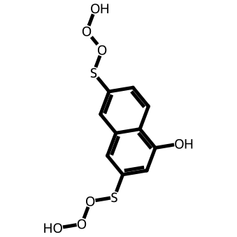 OOOSc1ccc2c(O)cc(SOOO)cc2c1